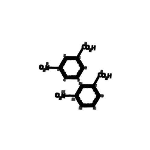 O=C(O)c1cccc([N+](=O)[O-])c1.O=C(O)c1cccc([N+](=O)[O-])c1